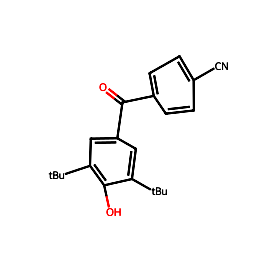 CC(C)(C)c1cc(C(=O)c2ccc(C#N)cc2)cc(C(C)(C)C)c1O